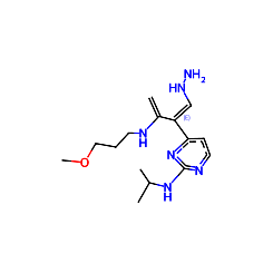 C=C(NCCCOC)/C(=C\NN)c1ccnc(NC(C)C)n1